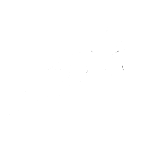 C=C(C)[C@@H]1CC[C@]2(CO)CC[C@]3(C)[C@H](CC[C@@H]4[C@@]5(C)CCN(S(=O)(=O)c6ccc(/C=C/C(=O)O)cc6)C(C)(C)C5CC[C@]43C)[C@@H]12